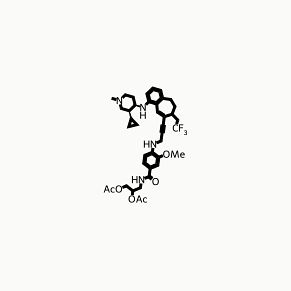 COc1cc(C(=O)NCC(COC(C)=O)OC(C)=O)ccc1NCC#CC1=Cc2c(cccc2N[C@@H]2CCN(C)C[C@@H]2C2CC2)CCC1CC(F)(F)F